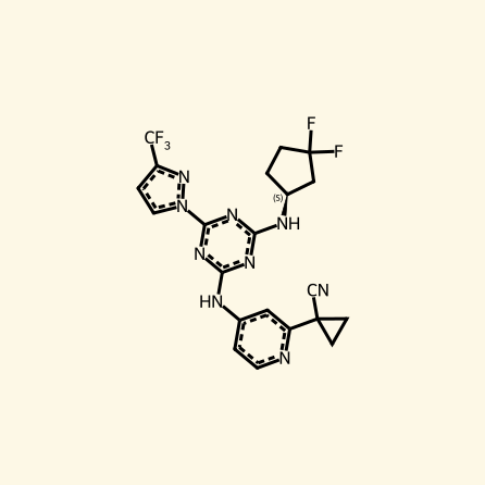 N#CC1(c2cc(Nc3nc(N[C@H]4CCC(F)(F)C4)nc(-n4ccc(C(F)(F)F)n4)n3)ccn2)CC1